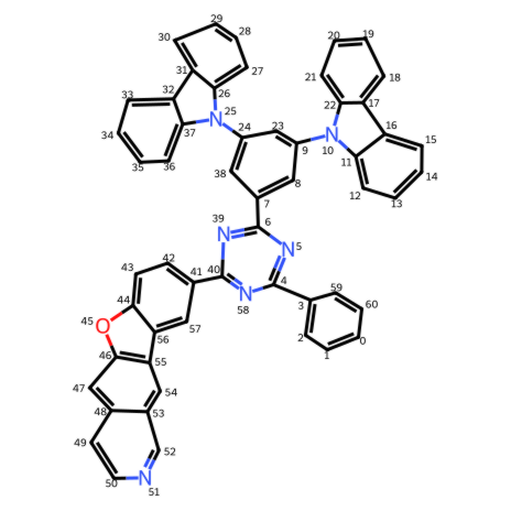 c1ccc(-c2nc(-c3cc(-n4c5ccccc5c5ccccc54)cc(-n4c5ccccc5c5ccccc54)c3)nc(-c3ccc4oc5cc6ccncc6cc5c4c3)n2)cc1